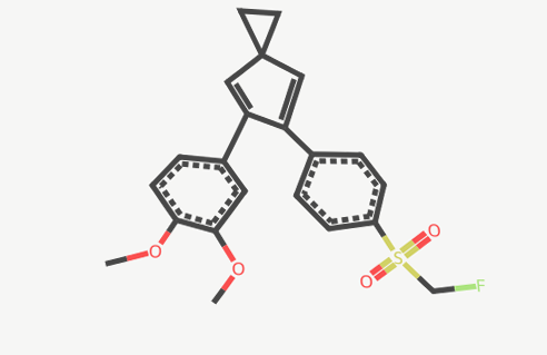 COc1ccc(C2=CC3(C=C2c2ccc(S(=O)(=O)CF)cc2)CC3)cc1OC